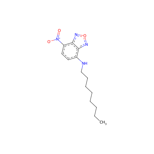 CCCCCCCCNc1ccc([N+](=O)[O-])c2nonc12